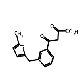 Cc1ccc(Cc2cccc(C(=O)CC(=O)C(=O)O)c2)s1